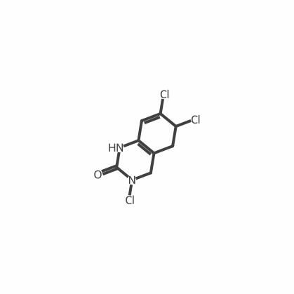 O=C1NC2=C(CC(Cl)C(Cl)=C2)CN1Cl